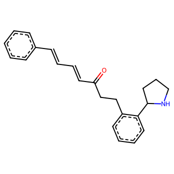 O=C(C=CC=Cc1ccccc1)CCc1ccccc1C1CCCN1